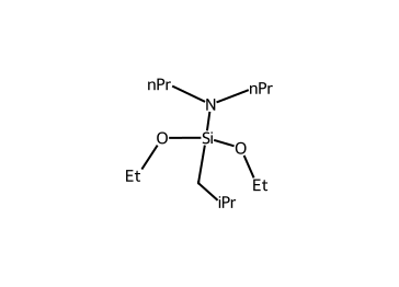 CCCN(CCC)[Si](CC(C)C)(OCC)OCC